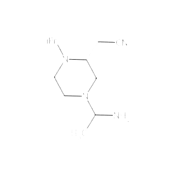 CC(N)N1CCN(C(C)C)[C@H](CC#N)C1